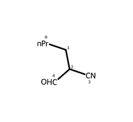 CCCCC(C#N)C=O